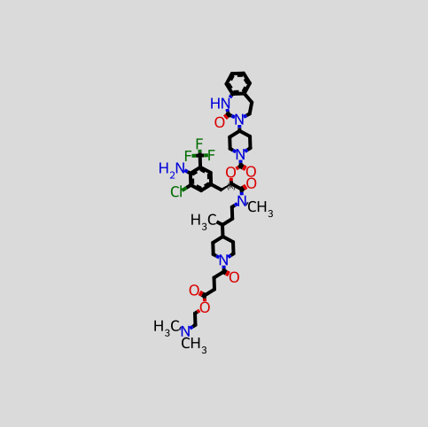 CC(CCN(C)C(=O)[C@@H](Cc1cc(Cl)c(N)c(C(F)(F)F)c1)OC(=O)N1CCC(N2CCc3ccccc3NC2=O)CC1)C1CCN(C(=O)CCC(=O)OCCN(C)C)CC1